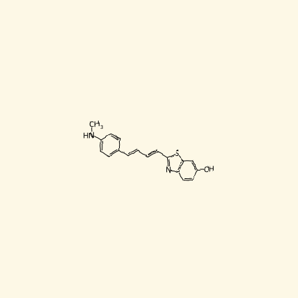 CNc1ccc(/C=C/C=C/c2nc3ccc(O)cc3s2)cc1